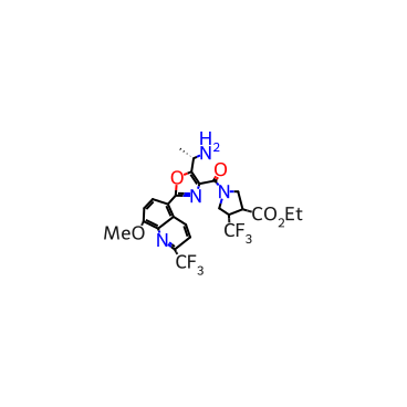 CCOC(=O)C1CN(C(=O)c2nc(-c3ccc(OC)c4nc(C(F)(F)F)ccc34)oc2[C@H](C)N)CC1C(F)(F)F